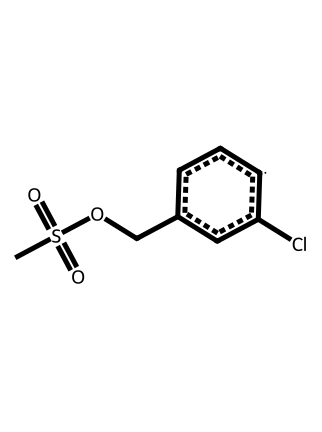 CS(=O)(=O)OCc1cc[c]c(Cl)c1